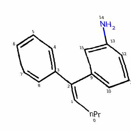 CCCC=C(c1ccccc1)c1cccc(N)c1